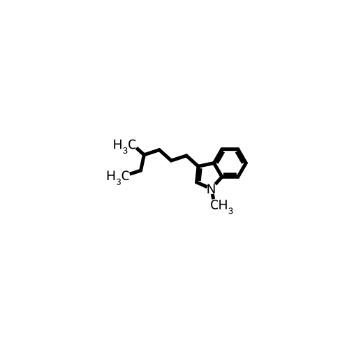 CCC(C)CCCc1cn(C)c2ccccc12